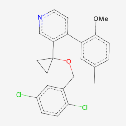 COc1ccc(C)cc1-c1ccncc1C1(OCc2cc(Cl)ccc2Cl)CC1